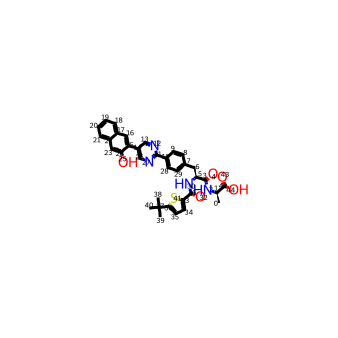 C[C@@H](NC(=O)[C@H](Cc1ccc(-c2ncc(-c3cc4ccccc4cc3O)cn2)cc1)NC(=O)c1ccc(C(C)(C)C)s1)C(=O)O